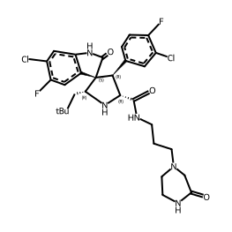 CC(C)(C)C[C@H]1N[C@@H](C(=O)NCCCN2CCNC(=O)C2)[C@H](c2ccc(F)c(Cl)c2)[C@@]12C(=O)Nc1cc(Cl)c(F)cc12